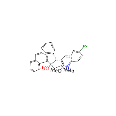 CNCC[C@](O)(c1cccc2ccccc12)[C@H](c1ccccc1)c1cc2cc(Br)ccc2nc1OC